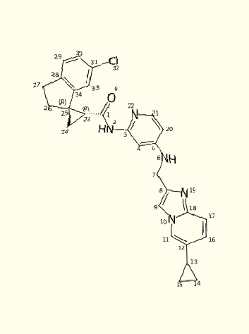 O=C(Nc1cc(NCc2cn3cc(C4CC4)ccc3n2)ccn1)[C@@H]1C[C@]12CCc1ccc(Cl)cc12